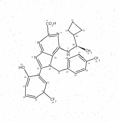 C[C@@H](Nc1nc(C(=O)O)nc2nc(C3=CC(C(F)(F)F)C=CC=C3O)n(Cc3ccc(C(F)(F)F)cc3)c12)C1CCC1